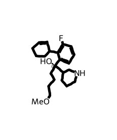 COCCCC[C@@](O)(c1cccc(F)c1C1C=CCCC1)C1CCCNC1